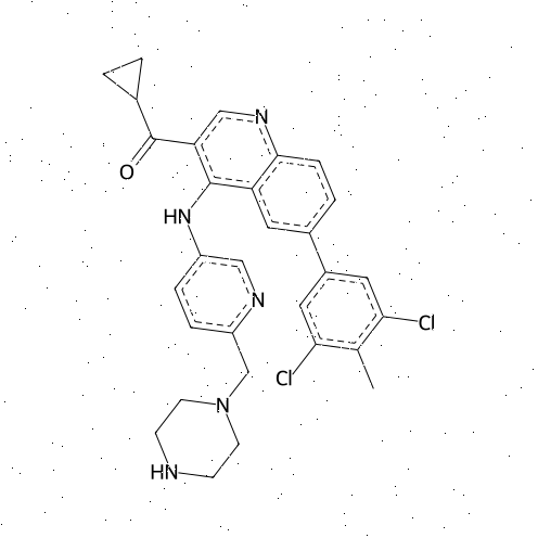 Cc1c(Cl)cc(-c2ccc3ncc(C(=O)C4CC4)c(Nc4ccc(CN5CCNCC5)nc4)c3c2)cc1Cl